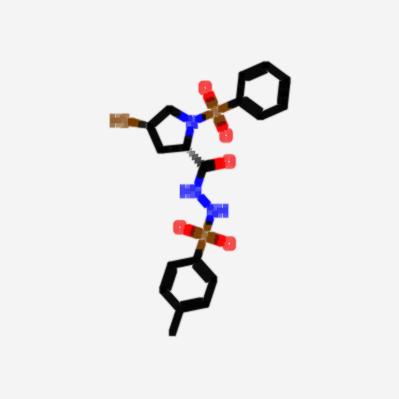 Cc1ccc(S(=O)(=O)NNC(=O)[C@@H]2C[C@@H](S)CN2S(=O)(=O)c2ccccc2)cc1